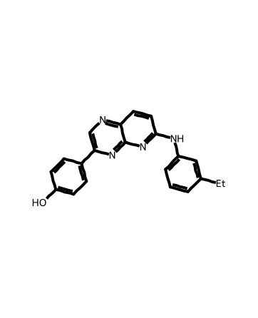 CCc1cccc(Nc2ccc3ncc(-c4ccc(O)cc4)nc3n2)c1